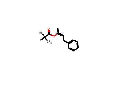 CCC(C)(C(=O)O/C(C)=C\Cc1ccccc1)C(F)(F)F